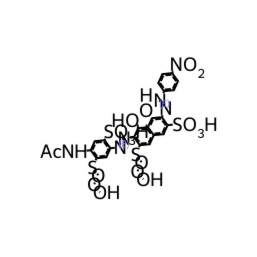 CC(=O)Nc1cc(S(=O)(=O)O)c(/N=N/c2c(SOOO)cc3cc(S(=O)(=O)O)c(/N=N/c4ccc([N+](=O)[O-])cc4)c(O)c3c2O)cc1SOOO